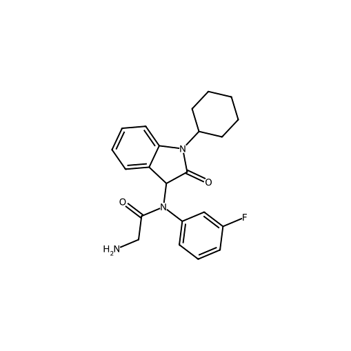 NCC(=O)N(c1cccc(F)c1)C1C(=O)N(C2CCCCC2)c2ccccc21